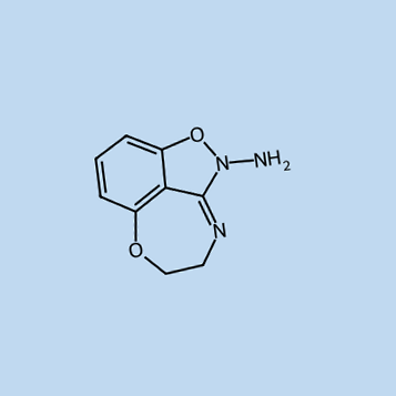 NN1Oc2cccc3c2C1=NCCO3